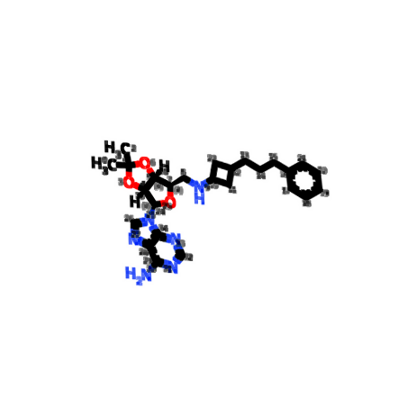 CC1(C)O[C@@H]2[C@H](O1)[C@@H](CNC1CC(CCCc3ccccc3)C1)O[C@H]2n1cnc2c(N)ncnc21